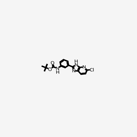 CC(C)(C)OC(=O)Nc1cccc(-c2nc3ccc(Cl)nc3[nH]2)c1